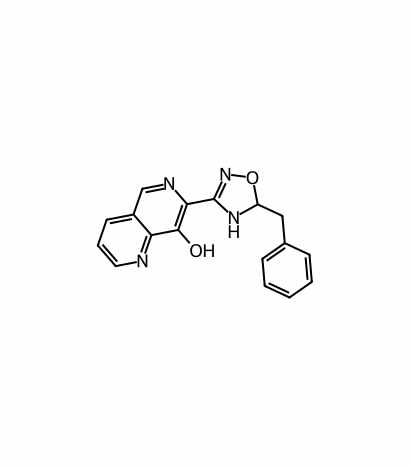 Oc1c(C2=NOC(Cc3ccccc3)N2)ncc2cccnc12